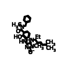 CC[C@@H](Nc1n[s+]([O-])nc1Nc1cccc(C(=O)N(C)Cc2ccccc2)c1O)/C(C)=C/C=C(C)C